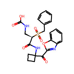 O=C(O)NC[C@H](C(=O)NC1(C(=O)c2nc3ccccc3o2)CCC1)S(=O)(=O)Cc1ccccc1